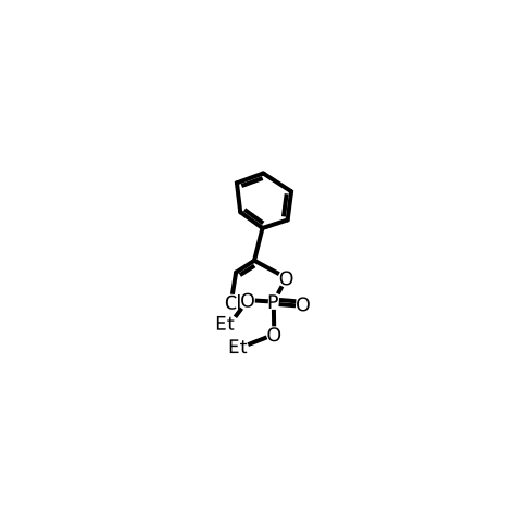 CCOP(=O)(OCC)OC(=CCl)c1ccccc1